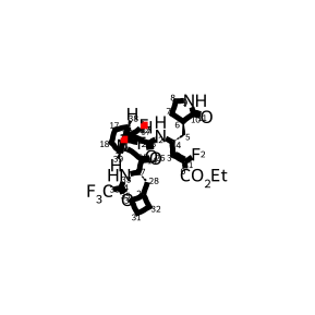 CCOC(=O)/C(F)=C/[C@@H](C[C@H]1CCNC1=O)NC(=O)[C@@H]1[C@H]2CC[C@H](CC2(F)F)N1C(=O)[C@H](CC1CCC1)NC(=O)C(F)(F)F